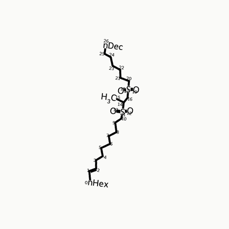 CCCCCC/C=C/CCCCCCCCS(=O)(=O)C(C)CS(=O)(=O)CCCCCCCCCCCCCCCC